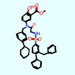 COC(=O)c1cc(N(Cc2ccc(C3CCCCC3)cc2)C(=O)CNS(=O)(=O)c2ccc(-c3ccccc3)c(Cc3ccccc3)c2)ccc1O